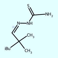 CCC(C)C(C)(C)/C=N\NC(N)=S